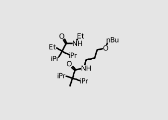 CCCCOCCCNC(=O)C(C)(C(C)C)C(C)C.CCNC(=O)C(CC)(C(C)C)C(C)C